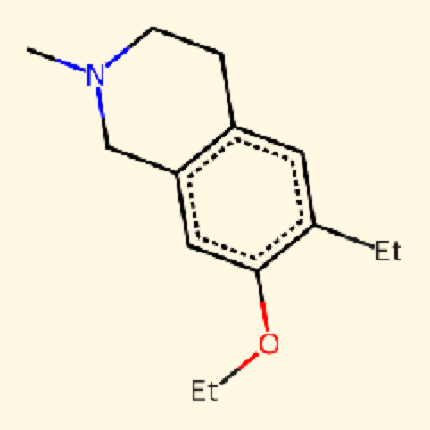 CCOc1cc2c(cc1CC)CCN(C)C2